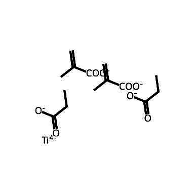 C=C(C)C(=O)[O-].C=C(C)C(=O)[O-].CCC(=O)[O-].CCC(=O)[O-].[Ti+4]